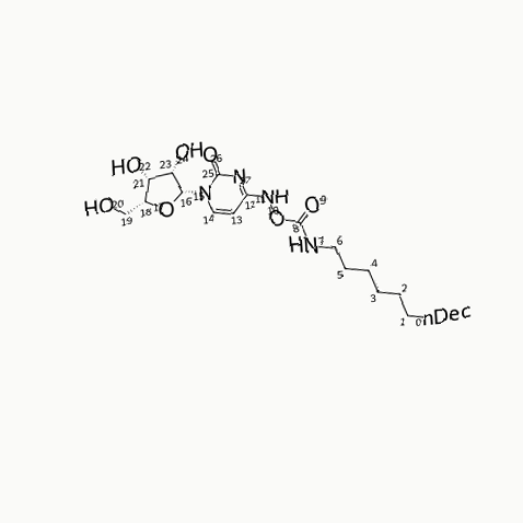 CCCCCCCCCCCCCCCCNC(=O)ONc1ccn([C@@H]2O[C@H](CO)[C@H](O)[C@@H]2O)c(=O)n1